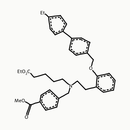 CCOC(=O)CCCCN(CCc1ccccc1OCc1ccc(-c2ccc(CC)cc2)cc1)Cc1ccc(C(=O)OC)cc1